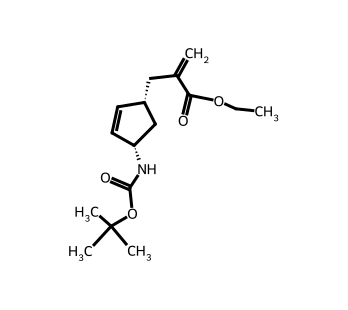 C=C(C[C@H]1C=C[C@@H](NC(=O)OC(C)(C)C)C1)C(=O)OCC